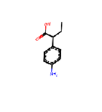 CCC(C(=O)O)c1ccc(N)cc1